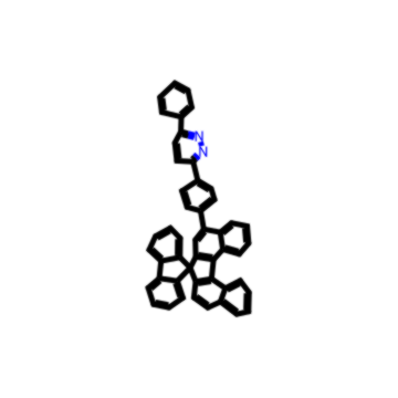 c1ccc(-c2ccc(-c3ccc(-c4cc5c(c6ccccc46)-c4c(ccc6ccccc46)C54c5ccccc5-c5ccccc54)cc3)nn2)cc1